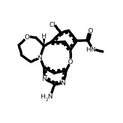 CNC(=O)c1cc(Cl)c2cc1Oc1cc(nc(N)n1)N1CCCOC[C@H]21